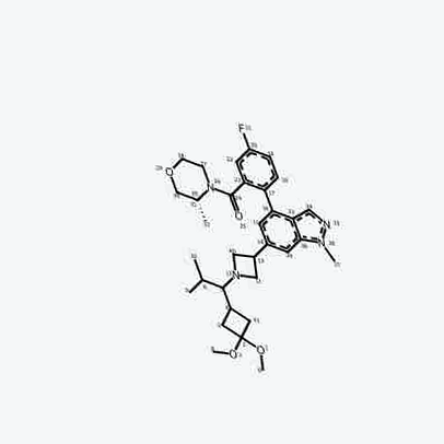 COC1(OC)CC(C(C(C)C)N2CC(c3cc(-c4ccc(F)cc4C(=O)N4CCOC[C@H]4C)c4cnn(C)c4c3)C2)C1